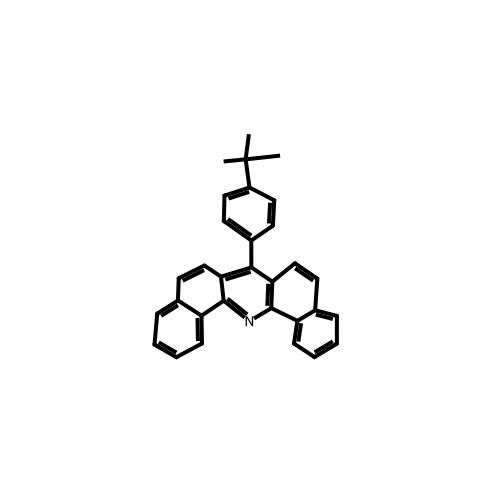 CC(C)(C)c1ccc(-c2c3ccc4ccccc4c3nc3c2ccc2ccccc23)cc1